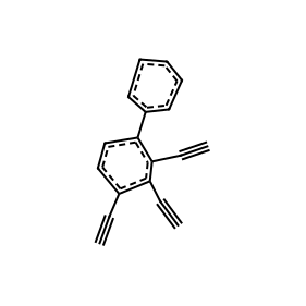 C#Cc1ccc(-c2ccccc2)c(C#C)c1C#C